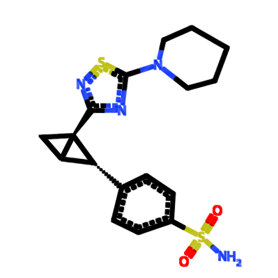 NS(=O)(=O)c1ccc([C@@H]2C3C[C@@]32c2nsc(N3CCCCC3)n2)cc1